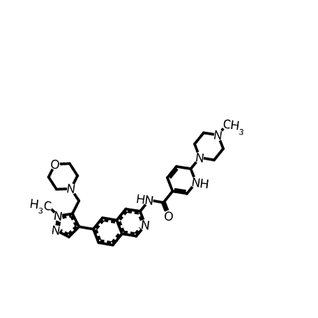 CN1CCN(C2C=CC(C(=O)Nc3cc4cc(-c5cnn(C)c5CN5CCOCC5)ccc4cn3)=CN2)CC1